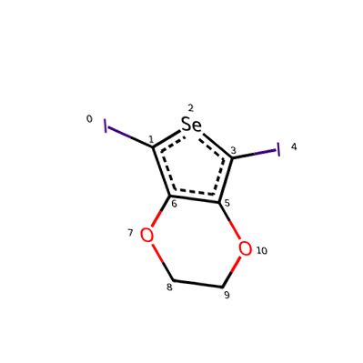 Ic1[se]c(I)c2c1OCCO2